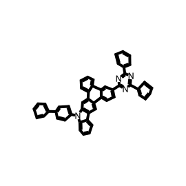 c1ccc(-c2ccc(-n3c4ccccc4c4cc5c6ccc(-c7nc(-c8ccccc8)nc(-c8ccccc8)n7)cc6c6ccccc6c5cc43)cc2)cc1